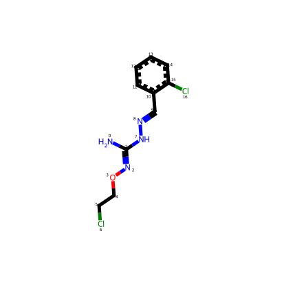 N/C(=N\OCCCl)N/N=C/c1ccccc1Cl